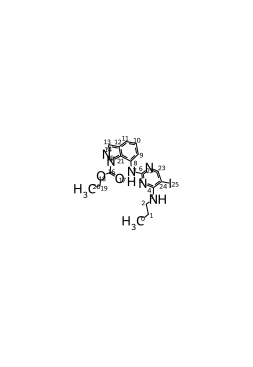 CCCNc1nc(Nc2cccc3cnn(C(=O)OCC)c23)ncc1I